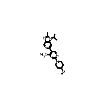 COC1CCN(c2ncc(-c3cc4c(cn3)nc(C)n4C(C)C)c(N)n2)CC1